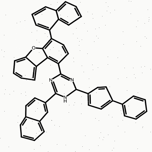 c1ccc(-c2ccc(C3N=C(c4ccc(-c5cccc6ccccc56)c5oc6ccccc6c45)N=C(c4ccc5ccccc5c4)N3)cc2)cc1